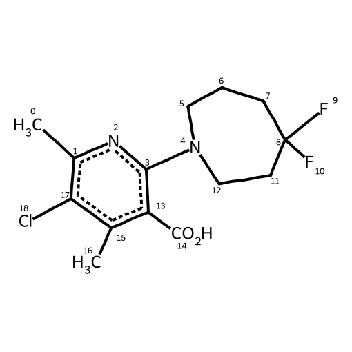 Cc1nc(N2CCCC(F)(F)CC2)c(C(=O)O)c(C)c1Cl